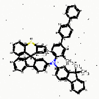 Cc1cc(-c2ccc(-c3ccccc3)cc2)cc(C)c1N(c1ccc2c(c1)C(C)(C)c1ccccc1-2)c1ccc2c(c1)C1(c3ccccc3Sc3ccccc31)c1ccccc1-2